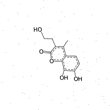 Cc1c(CCO)c(=O)oc2c(O)c(O)ccc12